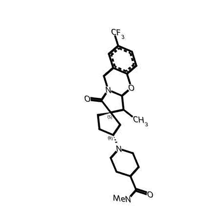 CNC(=O)C1CCN([C@@H]2CC[C@@]3(C2)C(=O)N2Cc4cc(C(F)(F)F)ccc4OC2C3C)CC1